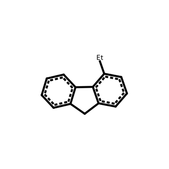 CCc1cccc2c1-c1ccccc1C2